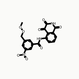 COOCc1cc(C(=O)Nc2cccc3c2C(=O)C(=O)NC3=O)cc([N+](=O)[O-])c1